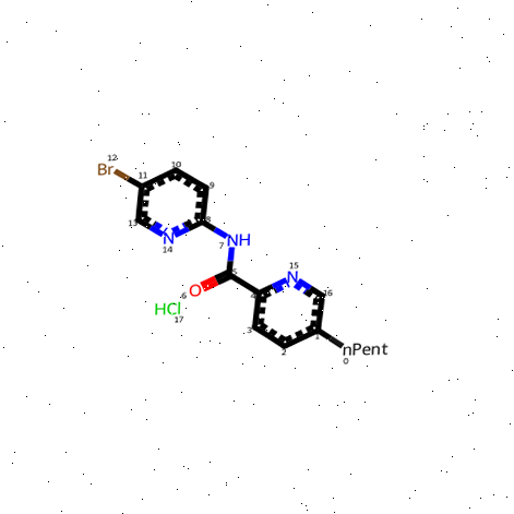 CCCCCc1ccc(C(=O)Nc2ccc(Br)cn2)nc1.Cl